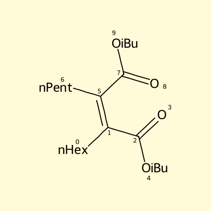 CCCCCC/C(C(=O)OCC(C)C)=C(\CCCCC)C(=O)OCC(C)C